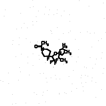 CC[Si](CC)(CC)OC(C(F)(F)F)C1(F)CCN(C(C)=O)CC1